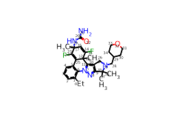 CCc1cccc2c1-n1nc3c(c1C1(C)C(F)=CC(C)(NC(N)=O)C(F)=C21)CN(CC1CCOCC1)C3(C)C